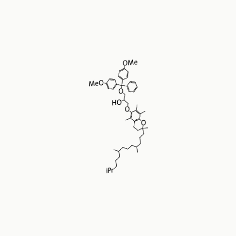 COc1ccc(C(OCC(O)COc2c(C)c(C)c3c(c2C)CCC(C)(CCCC(C)CCCC(C)CCCC(C)C)O3)(c2ccccc2)c2ccc(OC)cc2)cc1